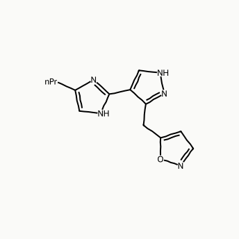 CCCc1c[nH]c(-c2c[nH]nc2Cc2ccno2)n1